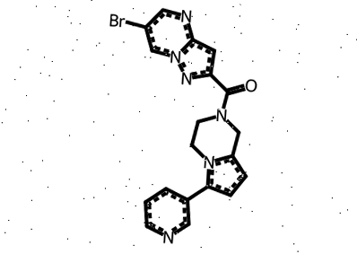 O=C(c1cc2ncc(Br)cn2n1)N1CCn2c(ccc2-c2cccnc2)C1